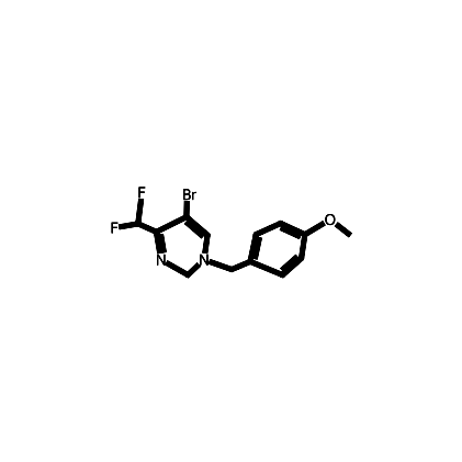 COc1ccc(CN2C=C(Br)C(C(F)F)=NC2)cc1